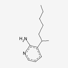 CCCCCC(C)c1cccnc1N